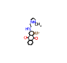 Br.CN1CC=CN1CCNc1ccc2c(c1)C(=O)c1ccccc1C2=O